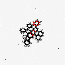 c1ccc(-c2ccccc2-c2c(-c3ccccc3)cccc2N(c2ccc(-c3cccc4ccccc34)cc2)c2ccccc2-c2cccc3c2oc2ccccc23)cc1